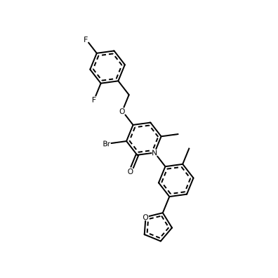 Cc1ccc(-c2ccco2)cc1-n1c(C)cc(OCc2ccc(F)cc2F)c(Br)c1=O